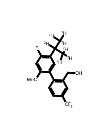 [2H]C([2H])([2H])C([2H])(c1cc(-c2ccc(C(F)(F)F)cc2CO)c(OC)cc1F)C([2H])([2H])[2H]